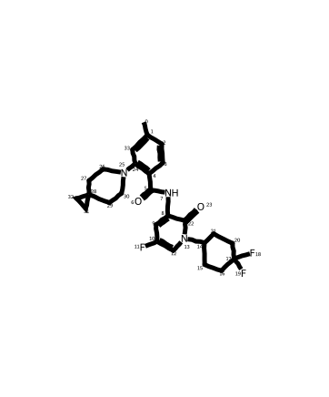 Cc1ccc(C(=O)Nc2cc(F)cn(C3CCC(F)(F)CC3)c2=O)c(N2CCC3(CC2)CC3)c1